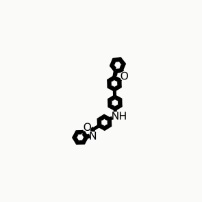 c1ccc2oc(-c3ccc(Nc4ccc(-c5ccc6c(c5)oc5ccccc56)cc4)cc3)nc2c1